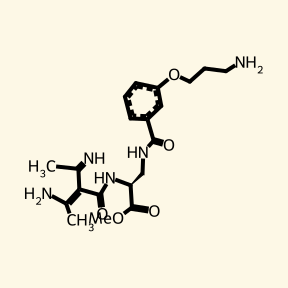 COC(=O)[C@H](CNC(=O)c1cccc(OCCCN)c1)NC(=O)/C(C(C)=N)=C(\C)N